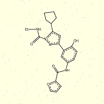 CCNC(=O)n1nc(-c2cc(NC(=O)c3ccco3)ccc2O)cc1C1CCCC1